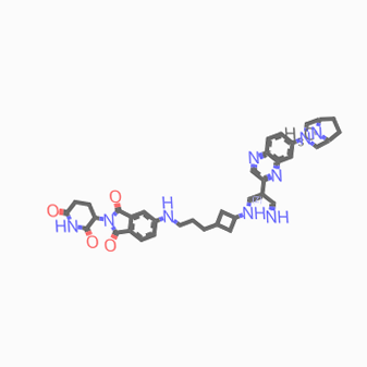 CN1C2CCC1CN(c1ccc3ncc(/C(C=N)=C/NC4CC(CCCNc5ccc6c(c5)C(=O)N(C5CCC(=O)NC5=O)C6=O)C4)nc3c1)C2